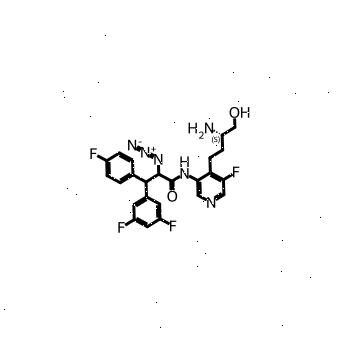 [N-]=[N+]=NC(C(=O)Nc1cncc(F)c1CC[C@H](N)CO)C(c1ccc(F)cc1)c1cc(F)cc(F)c1